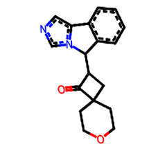 O=C1C(C2c3ccccc3-c3cncn32)CC12CCOCC2